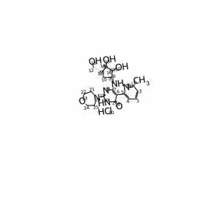 Cc1cccc(-c2c(N[C@@H]3C[C@H](CO)[C@@H](O)[C@H]3O)nc(N3CCOCC3)[nH]c2=O)n1.Cl